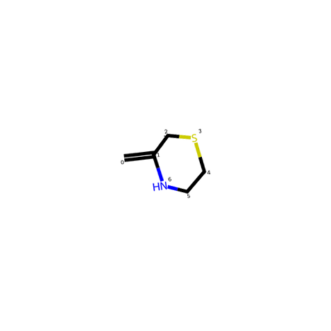 C=C1[CH]SCCN1